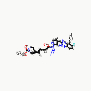 Cc1c(F)ccc2[nH]c(-c3ccnc(NC(=O)CCCC4CCN(C(=O)OC(C)(C)C)CC4)c3)nc12